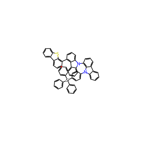 c1ccc([Si](c2ccccc2)(c2ccccc2)c2ccc(-n3c4ccccc4c4cccc(-n5c6ccccc6c6c(-c7cccc8c7sc7ccccc78)cccc65)c43)cc2)cc1